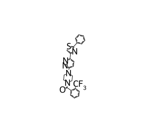 O=C(c1ccccc1C(F)(F)F)N1CCN(c2ccc(-c3csc(-c4ccccc4)n3)nn2)CC1